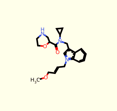 COC/C=C/Cn1cc(CN(C(=O)C2CNCCO2)C2CC2)c2c1C=C=C=C2